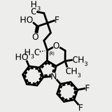 CCC(F)(CC[C@@]1(C)OCC(C)(C)c2c1c1c(O)cccc1n2-c1ccc(F)c(F)c1)C(=O)O